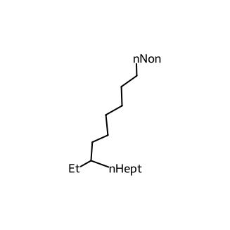 [CH2]CCCCCCCCCCCCCCC(CC)CCCCCC[CH2]